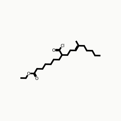 CCCCCC(C)=CCCC(CCCCCCC(=O)OCC)C(=O)Cl